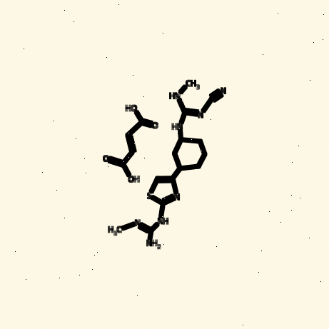 CN=C(N)Nc1nc(C2CCCC(NC(=NC#N)NC)C2)cs1.O=C(O)C=CC(=O)O